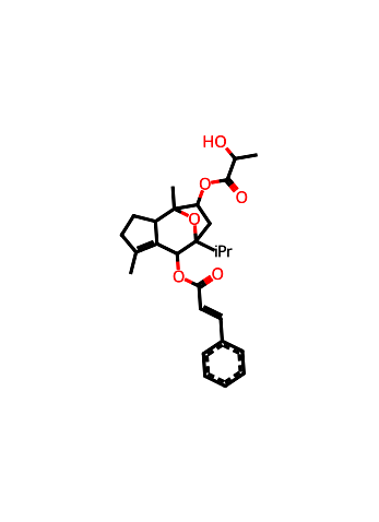 CC1=C2C(CC1)C1(C)OC(C(C)C)(CC1OC(=O)C(C)O)C2OC(=O)/C=C/c1ccccc1